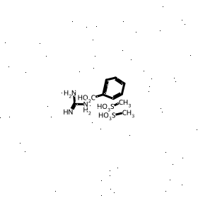 CS(=O)(=O)O.CS(=O)(=O)O.N=C(N)N.O=C(O)c1ccccc1